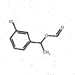 CC(O[C]=O)c1cccc(Cl)c1